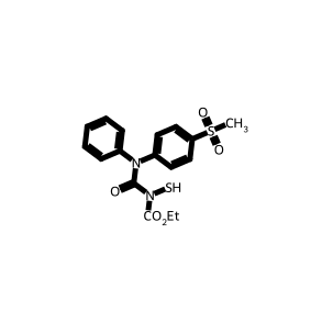 CCOC(=O)N(S)C(=O)N(c1ccccc1)c1ccc(S(C)(=O)=O)cc1